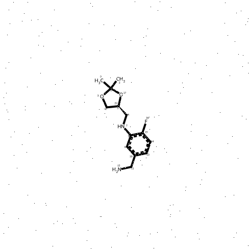 CC1(C)OC[C@H](CNc2cc(CN)ccc2F)O1